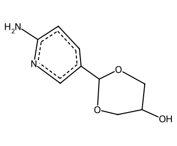 Nc1ccc(C2OCC(O)CO2)cn1